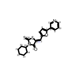 O=C1/C(=C/c2ccc(-c3cccnc3)o2)SC(=S)N1C1CCCCC1